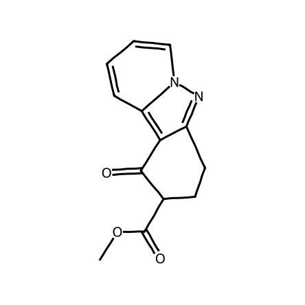 COC(=O)C1CCc2nn3ccccc3c2C1=O